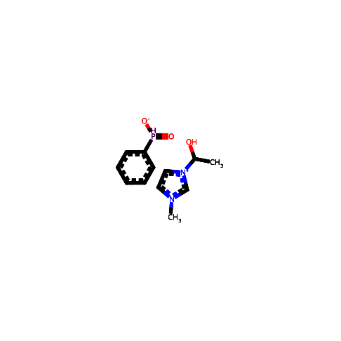 CC(O)[n+]1ccn(C)c1.O=[PH]([O-])c1ccccc1